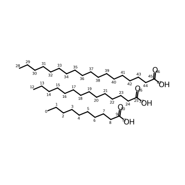 CCCCCCCCCC(=O)O.CCCCCCCCCCCCCC(=O)O.CCCCCCCCCCCCCCCCCC(=O)O